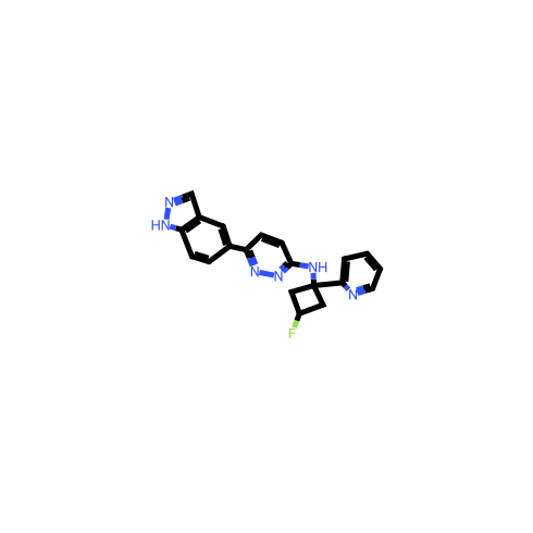 FC1CC(Nc2ccc(-c3ccc4[nH]ncc4c3)nn2)(c2ccccn2)C1